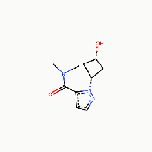 CN(C)C(=O)c1ccnn1[C@H]1C[C@@H](O)C1